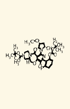 CO[C@@H]1C[C@H](C)N(c2nc(-c3c(F)cccc3OC(=O)OC(C)(C)C)c(Cl)c3c2C(=O)N2CCN(C(=O)OC(C)(C)C)C[C@@H]2CO3)C1